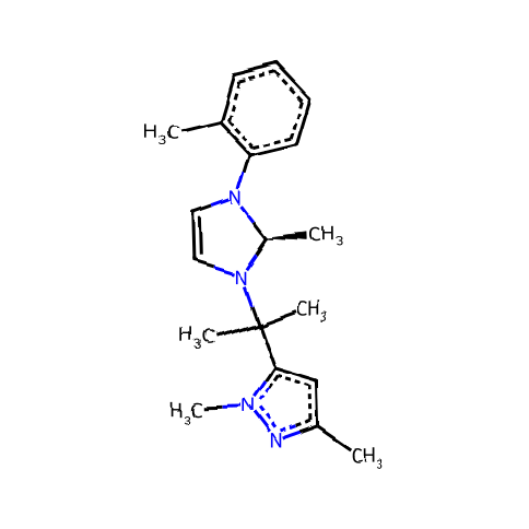 Cc1cc(C(C)(C)N2C=CN(c3ccccc3C)[C@H]2C)n(C)n1